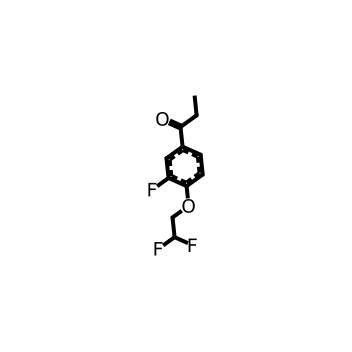 CCC(=O)c1ccc(OCC(F)F)c(F)c1